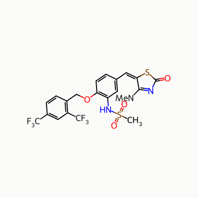 CNC1=NC(=O)SC1=Cc1ccc(OCc2ccc(C(F)(F)F)cc2C(F)(F)F)c(NS(C)(=O)=O)c1